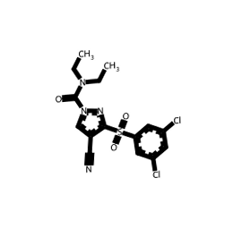 CCN(CC)C(=O)n1cc(C#N)c(S(=O)(=O)c2cc(Cl)cc(Cl)c2)n1